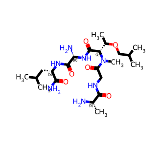 CC(C)COC(C)[C@@H](C(=O)N[C@@H](N)C(=O)N[C@@H](CC(C)C)C(N)=O)N(C)C(=O)CNC(=O)[C@H](C)N